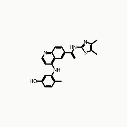 C=C(Nc1nc(C)c(C)s1)c1ccc2nccc(Nc3cc(O)ccc3C)c2c1